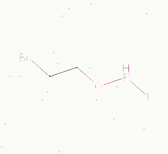 BrCCOPI